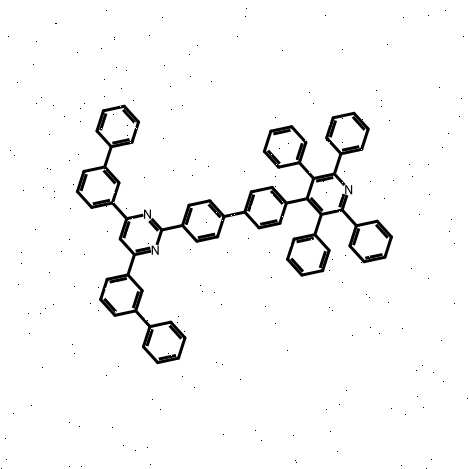 c1ccc(-c2cccc(-c3cc(-c4cccc(-c5ccccc5)c4)nc(-c4ccc(-c5ccc(-c6c(-c7ccccc7)c(-c7ccccc7)nc(-c7ccccc7)c6-c6ccccc6)cc5)cc4)n3)c2)cc1